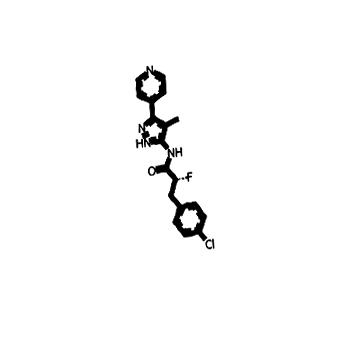 Cc1c(-c2ccncc2)n[nH]c1NC(=O)[C@H](F)Cc1ccc(Cl)cc1